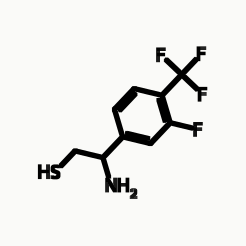 NC(CS)c1ccc(C(F)(F)F)c(F)c1